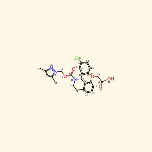 Cc1cc(C)n(COC(=O)N2CCc3ccccc3C2c2cc(Cl)ccc2OCC(=O)O)n1